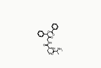 CC(C)C[C@H](NC(=O)[C@H](C)N)C(=O)NCC(=O)C(OC(=O)c1ccccc1)c1ccccc1